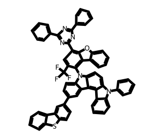 FC(F)(F)c1cc(-c2nc(-c3ccccc3)nc(-c3ccccc3)n2)c2oc3ccccc3c2c1-n1c2ccc(-c3ccc4sc5ccccc5c4c3)cc2c2c3c4ccccc4n(-c4ccccc4)c3ccc21